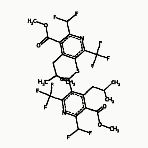 COC(=O)c1c(C(F)F)nc(C(F)(F)F)c(SC(=O)c2c(C(F)(F)F)nc(C(F)F)c(C(=O)OC)c2CC(C)C)c1CC(C)C